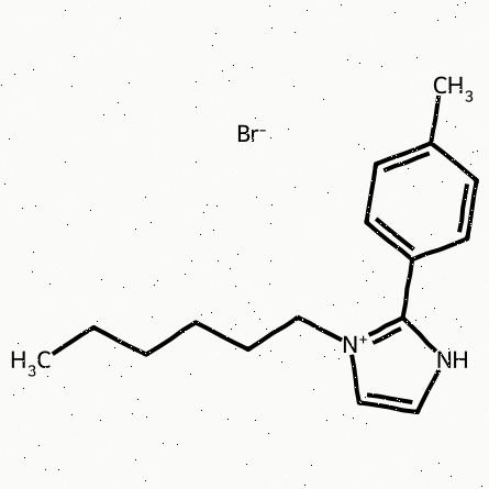 CCCCCC[n+]1cc[nH]c1-c1ccc(C)cc1.[Br-]